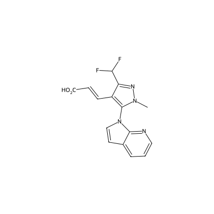 Cn1nc(C(F)F)c(C=CC(=O)O)c1-n1ccc2cccnc21